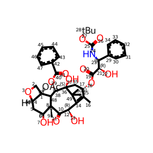 CC(=O)O[C@@]12CO[C@@H]1C[C@H](O)[C@@]1(C)C(=O)[C@H](O)C3=C(C)[C@@H](OC(=O)[C@H](O)[C@@H](NC(=O)OC(C)(C)C)c4ccccc4)C[C@@](O)([C@@H](OC(=O)c4ccccc4)C12)C3(C)C